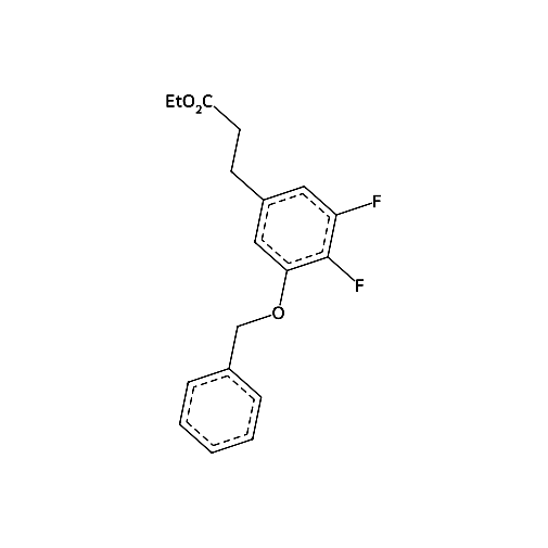 CCOC(=O)CCc1cc(F)c(F)c(OCc2ccccc2)c1